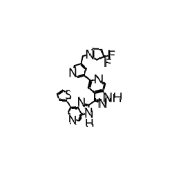 FC1(F)CCN(Cc2cncc(-c3cc4c(-c5nc6c(-c7cccs7)cncc6[nH]5)n[nH]c4cn3)c2)C1